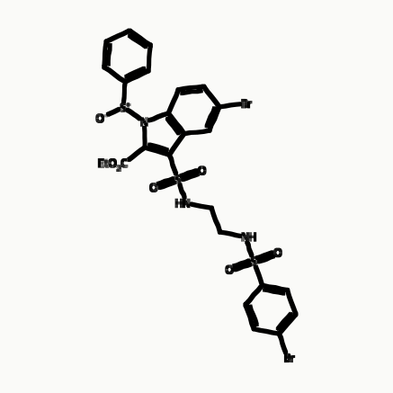 CCOC(=O)c1c(S(=O)(=O)NCCNS(=O)(=O)c2ccc(Br)cc2)c2cc(Br)ccc2n1[S+]([O-])c1ccccc1